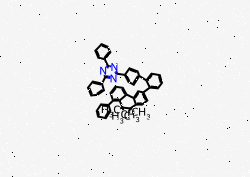 CC1(C)c2ccc(-c3ccccc3-c3ccc(-c4nc(-c5ccccc5)nc(-c5ccccc5)n4)cc3)cc2-c2cccc(-c3ccccc3)c2C1(C)C